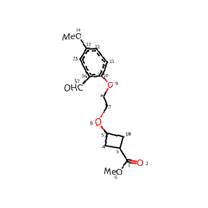 COC(=O)C1CC(OCCOc2ccc(OC)cc2C=O)C1